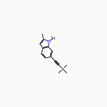 [2H]n1c(C)cc2ccc(C#C[Si](C)(C)C)cc21